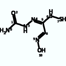 NC(=O)N/N=C(BS)\C=N\O